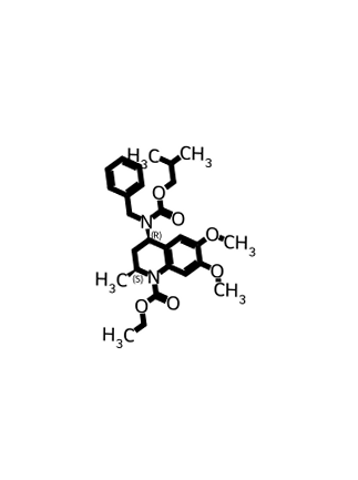 CCOC(=O)N1c2cc(OC)c(OC)cc2[C@H](N(Cc2ccccc2)C(=O)OCC(C)C)C[C@@H]1C